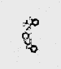 CC(=O)N(OC[C@H]1CCN(Cc2nc3ccccc3[nH]2)C[C@@H]1C)c1ccccc1F